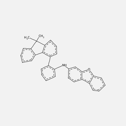 CC1(C)c2ccccc2-c2c(-c3ccccc3Nc3ccc4c(c3)oc3ccccc34)cccc21